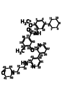 COc1ccc(C2CCCCC2)cc1NC(=O)c1ccc(C)c(Oc2ncccc2-c2ccnc(NCCCN3CCOCC3)c2)c1